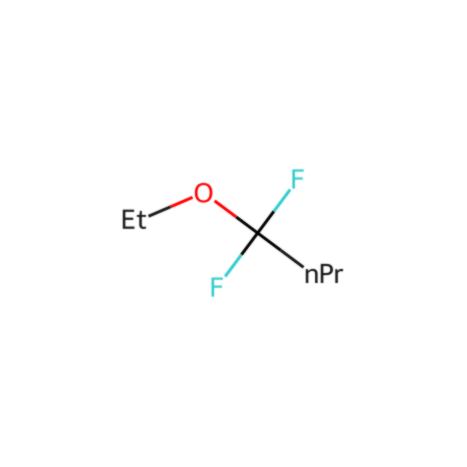 CCCC(F)(F)OCC